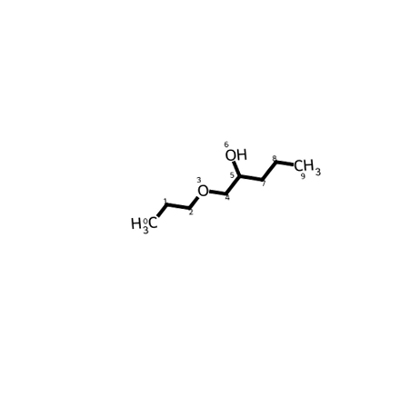 CCCOCC(O)CCC